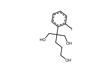 OCCCC(CO)(CO)c1ccccc1I